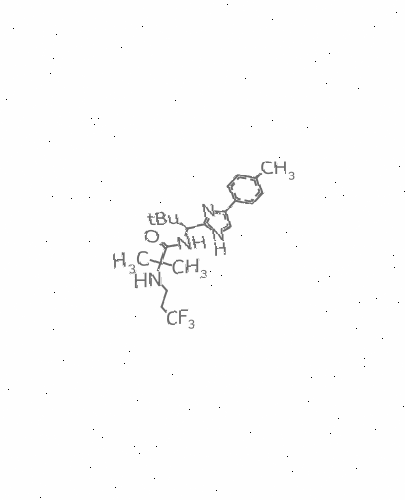 Cc1ccc(-c2c[nH]c([C@@H](NC(=O)C(C)(C)NCCC(F)(F)F)C(C)(C)C)n2)cc1